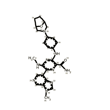 CNc1nc(Nc2ccc(N3CC4CCC(C3)O4)cc2)c(C(N)=O)nc1-c1cncc2c1ncn2C